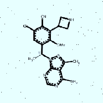 COc1c([C@@H](C)n2nc(C)c3c(N)ncnc32)cc(Cl)c(C#N)c1C1CNC1